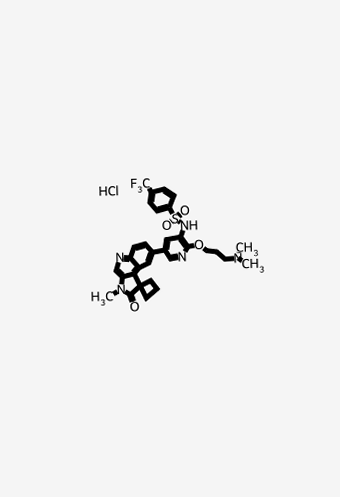 CN(C)CCCOc1ncc(-c2ccc3ncc4c(c3c2)C2(CCC2)C(=O)N4C)cc1NS(=O)(=O)c1ccc(C(F)(F)F)cc1.Cl